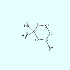 CC1(S)CSCC(S)S1